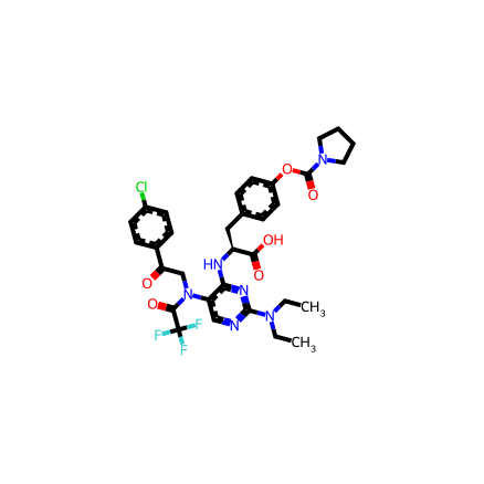 CCN(CC)c1ncc(N(CC(=O)c2ccc(Cl)cc2)C(=O)C(F)(F)F)c(N[C@@H](Cc2ccc(OC(=O)N3CCCC3)cc2)C(=O)O)n1